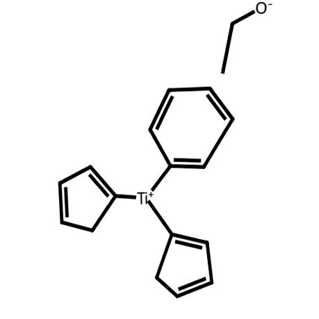 C1=CC[C]([Ti+]([C]2=CC=CC2)[c]2ccccc2)=C1.CC[O-]